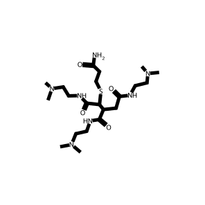 CN(C)CCNC(=O)CC(C(=O)NCCN(C)C)C(SCCC(N)=O)C(=O)NCCN(C)C